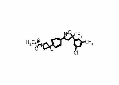 CS(=O)(=O)N1CC(F)(c2ccc(C3=NOC(c4cc(Cl)cc(C(F)(F)F)c4)(C(F)(F)F)C3)cc2)C1